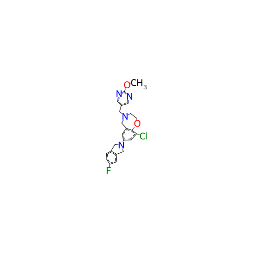 COc1ncc(CN2CCOc3c(Cl)cc(N4Cc5ccc(F)cc5C4)cc3C2)cn1